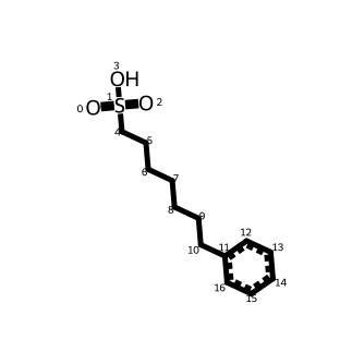 O=S(=O)(O)CCCCCCCc1ccccc1